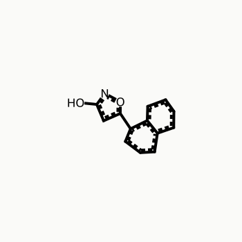 Oc1cc(-c2cccc3ccccc23)on1